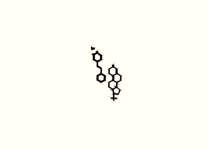 Cc1nc2cc(C=Cc3cccc([C@H]4C[C@@]5(C)[C@@H](CC[C@@]5(O)C(F)(F)C(F)(F)F)[C@@H]5CCC6=CC(=O)CCC6=C54)c3)ccc2s1